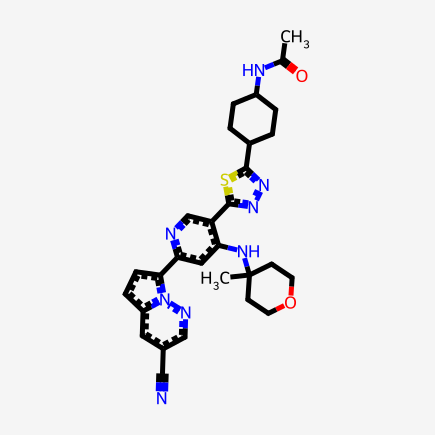 CC(=O)NC1CCC(c2nnc(-c3cnc(-c4ccc5cc(C#N)cnn45)cc3NC3(C)CCOCC3)s2)CC1